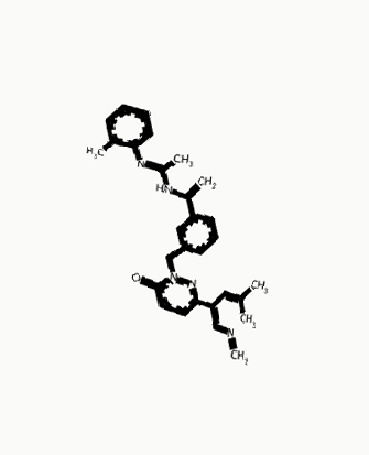 C=N/C=C(\C=C(C)C)c1ccc(=O)n(Cc2cccc(C(=C)N/C(C)=N/c3ccccc3C)c2)n1